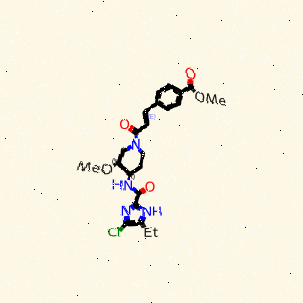 CCc1[nH]c(C(=O)N[C@@H]2CCN(C(=O)/C=C/c3ccc(C(=O)OC)cc3)C[C@@H]2OC)nc1Cl